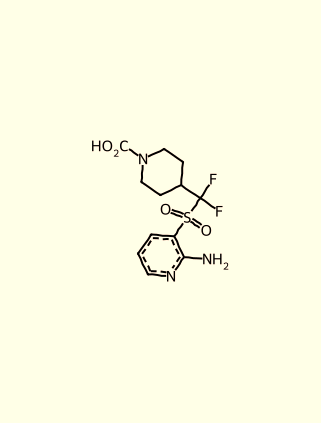 Nc1ncccc1S(=O)(=O)C(F)(F)C1CCN(C(=O)O)CC1